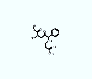 CC(=N)/C=C\NC(C(=O)CN(C(=O)OC(C)(C)C)C(C)C)c1ccccc1